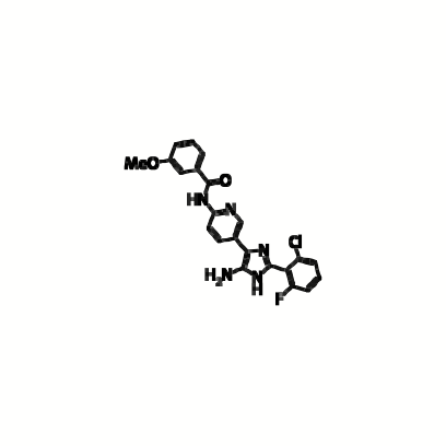 COc1cccc(C(=O)Nc2ccc(-c3nc(-c4c(F)cccc4Cl)[nH]c3N)cn2)c1